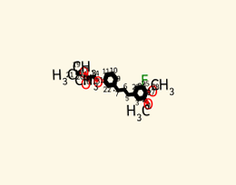 COc1cc(CC[CH]c2cccc(OCC(=O)OC(C)(C)C)c2)cc(F)c1OC